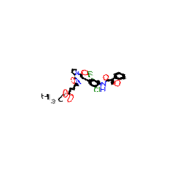 COC(=O)CCc1cnc([C@@H]2CCCN2C(=O)Cc2cc(Cl)c(NC(=O)c3coc4ccccc34)cc2F)o1